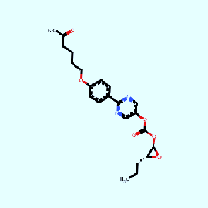 CCC[C@H]1O[C@@H]1OC(=O)Oc1cnc(-c2ccc(OCCCCC(C)=O)cc2)nc1